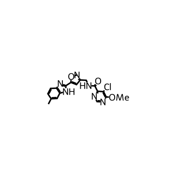 COc1ncnc(C(=O)NCc2cc(-c3nc4ccc(C)cc4[nH]3)on2)c1Cl